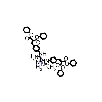 C=C(/N=C(N)\N=C(/N)Nc1ccc(C=C(C(=O)OC2CCCCC2)C(=O)OC2CCCCC2)cc1)Nc1ccc(C=C(C(=O)OC2CCCCC2)C(=O)OC2CCCCC2)cc1